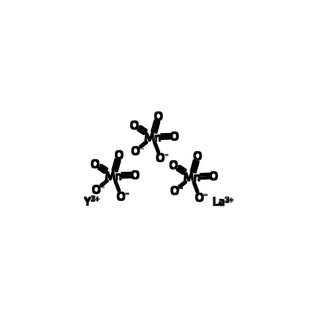 [La+3].[O]=[Mn](=[O])(=[O])([O-])[O-].[O]=[Mn](=[O])(=[O])([O-])[O-].[O]=[Mn](=[O])(=[O])([O-])[O-].[Y+3]